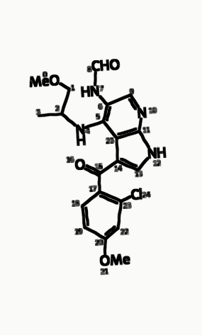 COCC(C)Nc1c(NC=O)cnc2[nH]cc(C(=O)c3ccc(OC)cc3Cl)c12